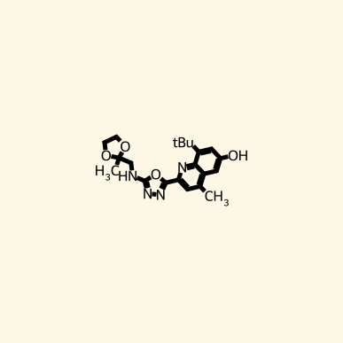 Cc1cc(-c2nnc(NCC3(C)OCCO3)o2)nc2c(C(C)(C)C)cc(O)cc12